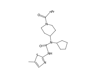 CCCC(=O)N1CCC(N(C(=O)Nc2ncc(C)s2)C2CCCC2)CC1